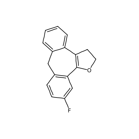 Fc1ccc2c(c1)C1=C(CCO1)c1ccccc1C2